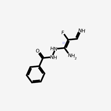 N=C/C(F)=C(\N)NNC(=O)c1ccccc1